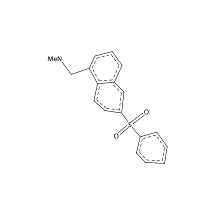 CNCc1cccc2cc(S(=O)(=O)c3ccccc3)ccc12